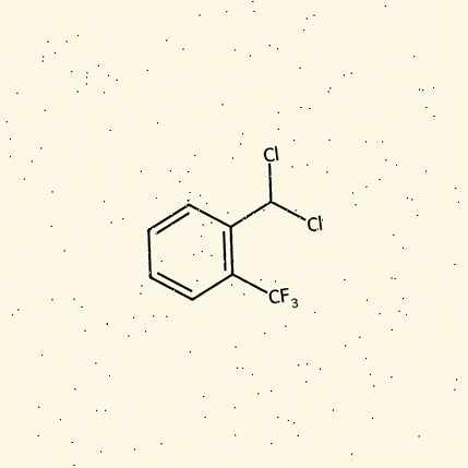 FC(F)(F)c1ccc[c]c1C(Cl)Cl